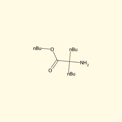 CCCCOC(=O)C(N)(CCCC)CCCC